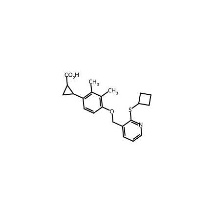 Cc1c(OCc2cccnc2SC2CCC2)ccc(C2CC2C(=O)O)c1C